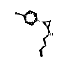 C=CCCNC1C[C@H]1c1ccc(Br)cc1